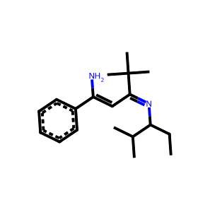 CCC(/N=C(\C=C(/N)c1ccccc1)C(C)(C)C)C(C)C